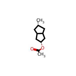 CC(=O)O[C@H]1CC2C[C@@H](C)CC2C1